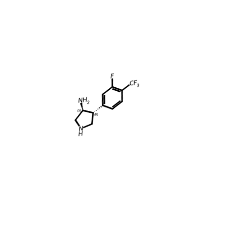 N[C@@H]1CNC[C@H]1c1ccc(C(F)(F)F)c(F)c1